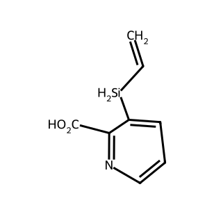 C=C[SiH2]c1cccnc1C(=O)O